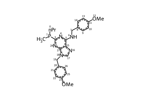 CCCP(C)c1nc(NCc2ccc(OC)cc2)c2ncn(Cc3ccc(OC)cc3)c2n1